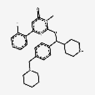 Cn1c(OC(c2ccc(CN3CCCCC3)cc2)C2CCNCC2)nc(-c2ccncc2F)cc1=O